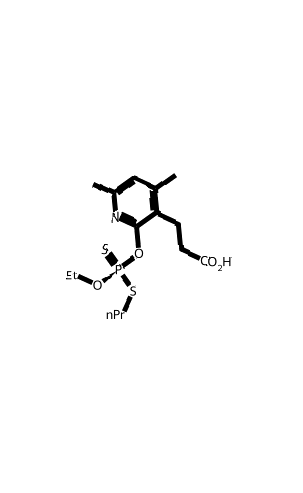 CCCS[P@@](=S)(OCC)Oc1nc(C)cc(C)c1CCC(=O)O